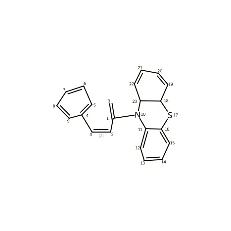 C=C(/C=C\c1ccccc1)N1c2ccccc2SC2C=CC=CC21